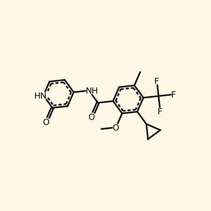 COc1c(C(=O)Nc2cc[nH]c(=O)c2)cc(C)c(C(F)(F)F)c1C1CC1